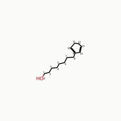 OCCCCCCCCC1=CC[CH]C=C1